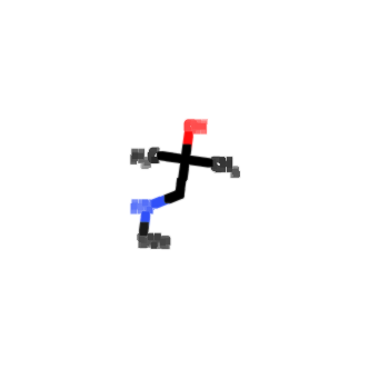 CSNCC(C)(C)O